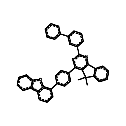 CC1(C)c2ccccc2-c2nc(-c3cccc(-c4ccccc4)c3)nc(-c3ccc(-c4cccc5c4oc4ccccc45)cc3)c21